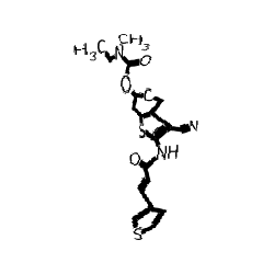 CCN(C)C(=O)OC1CCc2c(sc(NC(=O)C=Cc3ccsc3)c2C#N)C1